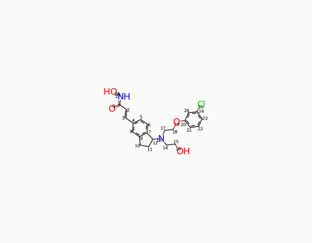 O=C(C=Cc1ccc2c(c1)CCC2N(CCO)CCOc1cccc(Cl)c1)NO